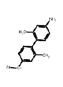 CCNc1ccc(-c2ccc(N)cc2C)c(C)c1